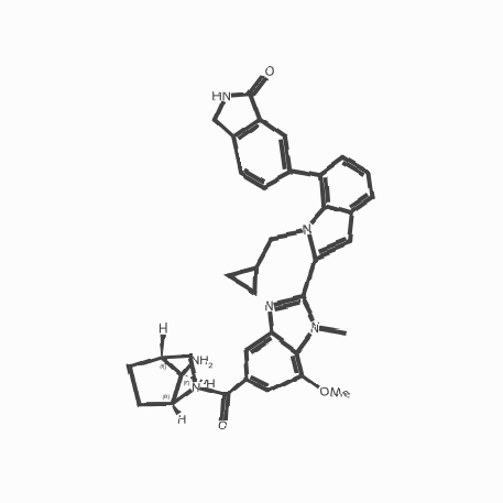 COc1cc(C(=O)N2C[C@H]3CC[C@@H]2[C@@H]3N)cc2nc(-c3cc4cccc(-c5ccc6c(c5)C(=O)NC6)c4n3CC3CC3)n(C)c12